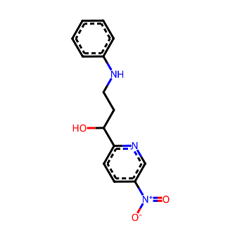 O=[N+]([O-])c1ccc(C(O)CCNc2ccccc2)nc1